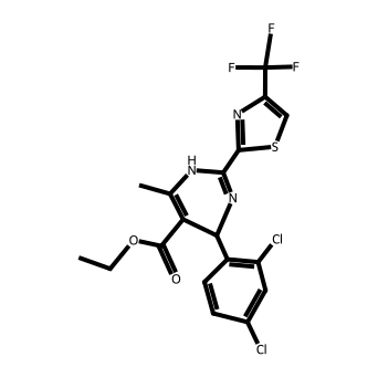 CCOC(=O)C1=C(C)NC(c2nc(C(F)(F)F)cs2)=NC1c1ccc(Cl)cc1Cl